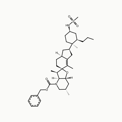 CCC[C@@H]1C[C@H](NS(C)(=O)=O)CC[C@]1(C)[C@H]1CC2=C(C)[C@]3(CC[C@H]2C1)O[C@@H]1C[C@H](C)CN(C(=O)OCc2ccccc2)[C@H]1[C@H]3C